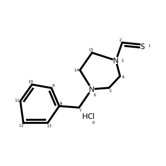 Cl.S=CN1CCN(Cc2ccccc2)CC1